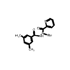 Cc1cc(C)cc(C(=O)NN(C(=O)c2ccccn2)C(C)(C)C)c1